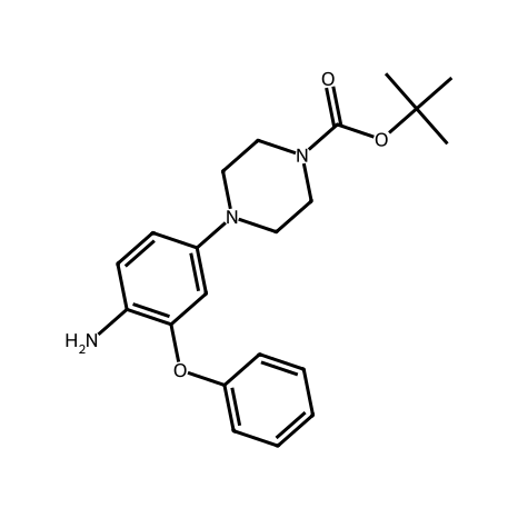 CC(C)(C)OC(=O)N1CCN(c2ccc(N)c(Oc3ccccc3)c2)CC1